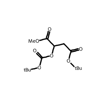 COC(=O)C(CC(=O)OC(C)(C)C)OC(=O)OC(C)(C)C